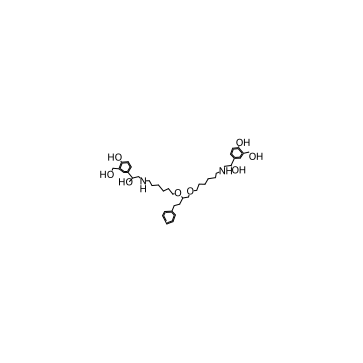 OCc1cc(C(O)CNCCCCCCOCC(CCc2ccccc2)OCCCCCCNCC(O)c2ccc(O)c(CO)c2)ccc1O